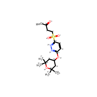 COC(=O)CCS(=O)(=O)c1ccc(OC2CC(C)(C)OC(C)(C)C2)nn1